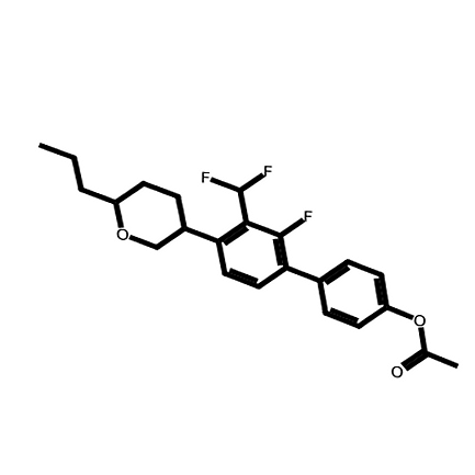 CCCC1CCC(c2ccc(-c3ccc(OC(C)=O)cc3)c(F)c2C(F)F)CO1